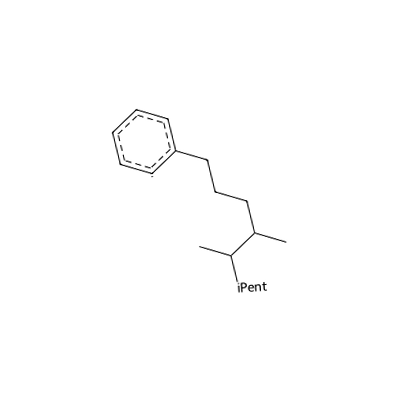 [CH2]CCC(C)C(C)C(C)CCCc1[c]cccc1